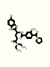 CCN(CC)C(=O)CCC(NC(=O)c1ccc(C(=O)N2CCCC2)c(C)c1)c1nc2cc(Cl)ccc2[nH]1